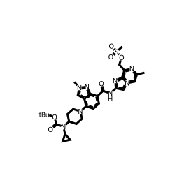 Cc1cn2cc(NC(=O)c3ccc(N4CCC(N(C(=O)OC(C)(C)C)C5CC5)CC4)c4cn(C)nc34)nc2c(COS(C)(=O)=O)n1